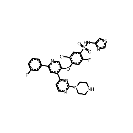 O=S(=O)(Nc1cscn1)c1cc(Cl)c(Oc2cnc(-c3cccc(F)c3)cc2-c2ccnc(N3CCNCC3)n2)cc1F